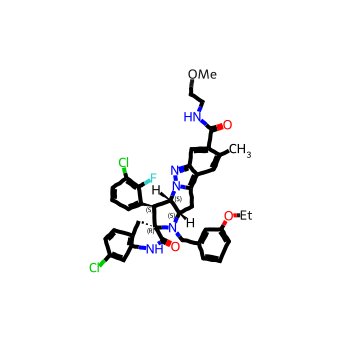 CCOc1cccc(CN2[C@H]3Cc4c5cc(C)c(C(=O)NCCOC)cc5nn4[C@H]3[C@H](c3cccc(Cl)c3F)[C@@]23Cc2ccc(Cl)cc2NC3=O)c1